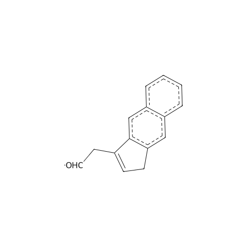 O=[C]CC1=CCc2cc3ccccc3cc21